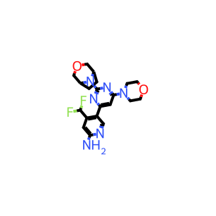 Nc1cc(C(F)F)c(-c2cc(N3CCOCC3)nc(N3C4CCC3COC4)n2)cn1